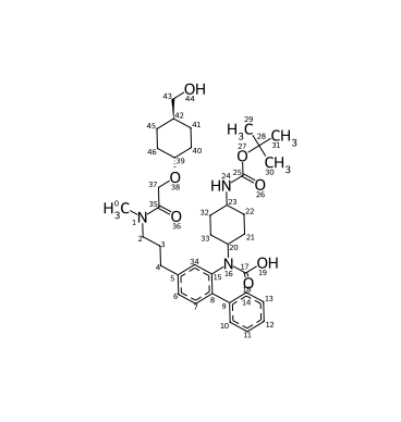 CN(CCCc1ccc(-c2ccccc2)c(N(C(=O)O)C2CCC(NC(=O)OC(C)(C)C)CC2)c1)C(=O)CO[C@H]1CC[C@H](CO)CC1